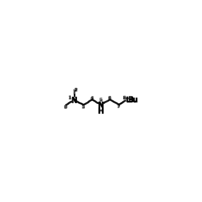 CN(C)CCNCCC(C)(C)C